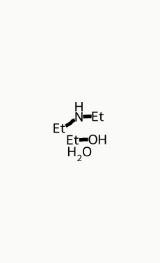 CCNCC.CCO.O